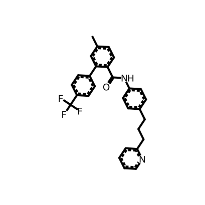 Cc1ccc(C(=O)Nc2ccc(CCCc3ccccn3)cc2)c(-c2ccc(C(F)(F)F)cc2)c1